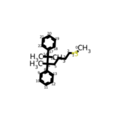 CSCCCCC(C)(c1ccccc1)C(C)(C)c1ccccc1